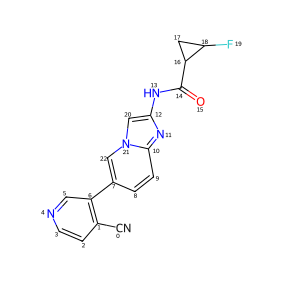 N#Cc1ccncc1-c1ccc2nc(NC(=O)C3CC3F)cn2c1